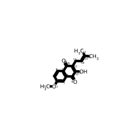 COc1ccc2c(c1)C(=O)C(O)=C(CC=C(C)C)C2=O